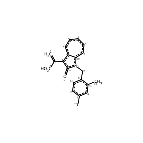 C=C(C(=O)O)c1c2cccccc-2n(Cc2ccc(Cl)cc2C)c1=O